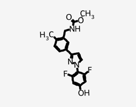 COC(=O)NCc1cc(-c2ccn(-c3c(F)cc(O)cc3F)n2)ccc1C